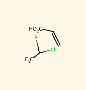 C=CC(=O)O.FC(F)(F)C(Cl)Br